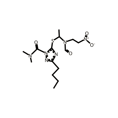 CCCCc1nc(SC(C)N(C=O)CC[N+](=O)[O-])n(C(=O)N(C)C)n1